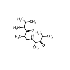 CC(C)C(=O)[C@H](C)NCC(C)C(=O)[C@@H](N)C(C)C